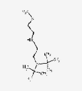 CSCCNCCN(C(C)(C)C)C(C)(C)C